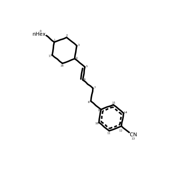 CCCCCCC1CCC(C=CCCc2ccc(C#N)cc2)CC1